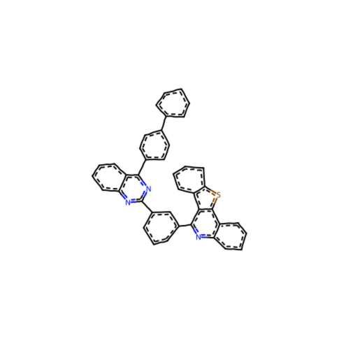 c1ccc(-c2ccc(-c3nc(-c4cccc(-c5nc6ccccc6c6sc7ccccc7c56)c4)nc4ccccc34)cc2)cc1